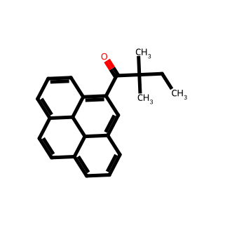 CCC(C)(C)C(=O)C1=C2C=CC=C3C=CC4=CC=CC(=C1)C4C32